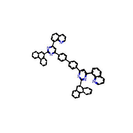 c1cnc2c(-c3cc(-c4ccc(-c5ccc(-c6cc(-c7cccc8cccnc78)nc(-c7cc8ccccc8c8ccccc78)n6)cc5)cc4)nc(-c4cc5ccccc5c5ccccc45)n3)cccc2c1